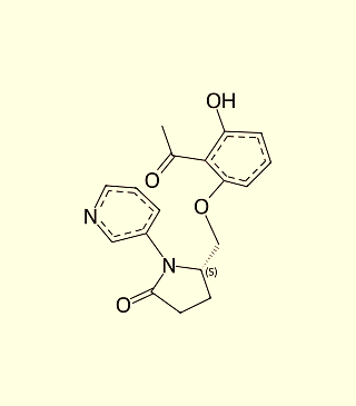 CC(=O)c1c(O)cccc1OC[C@@H]1CCC(=O)N1c1cccnc1